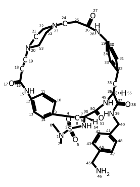 CN(C)S(=O)(=O)N[C@@H]1Cc2ccc(cc2)NC(=O)CCN2CCN(CCC(=O)Nc3ccc(cc3)C[C@@H](C(=O)NCc3ccc(CN)cc3)NC1=O)CC2